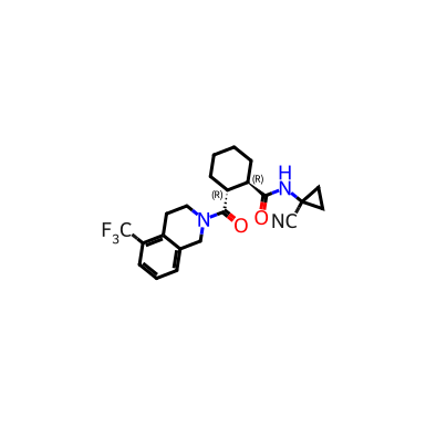 N#CC1(NC(=O)[C@@H]2CCCC[C@H]2C(=O)N2CCc3c(cccc3C(F)(F)F)C2)CC1